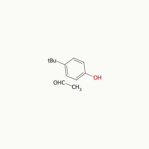 CC(C)(C)c1ccc(O)cc1.CC=O